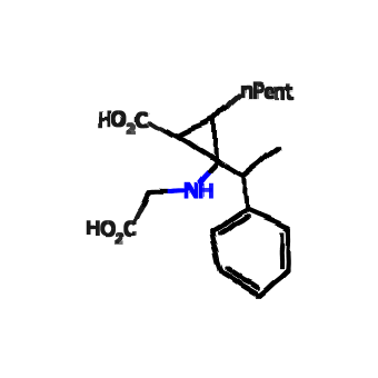 CCCCCC1C(C(=O)O)C1(NCC(=O)O)C(C)c1ccccc1